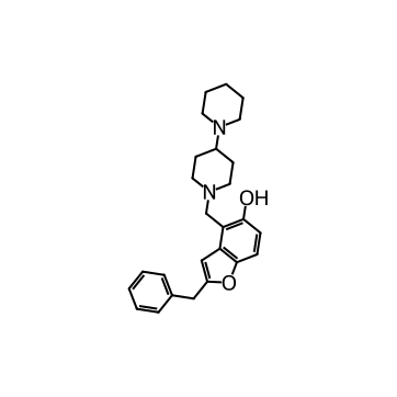 Oc1ccc2oc(Cc3ccccc3)cc2c1CN1CCC(N2CCCCC2)CC1